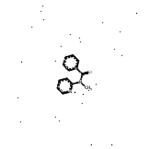 CN(C(=O)c1cc[c]cc1)c1ccccn1